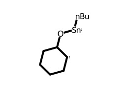 CCC[CH2][Sn][O]C1[C]CCCC1